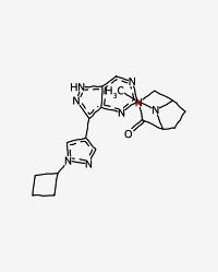 CN1CC2CCC(C1=O)N2c1ncc2[nH]nc(-c3cnn(C4CCC4)c3)c2n1